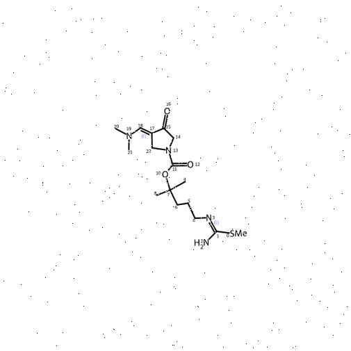 CS/C(N)=N/CCCC(C)(C)OC(=O)N1CC(=O)/C(=C/N(C)C)C1